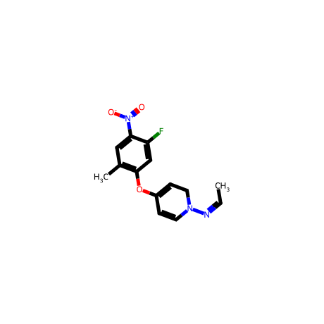 C/C=N\N1C=CC(Oc2cc(F)c([N+](=O)[O-])cc2C)=CC1